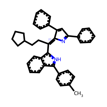 Cc1ccc(-c2[nH]c(/C(CCC3CCCC3)=C3\N=C(c4ccccc4)C=C3c3ccccc3)c3ccccc23)cc1